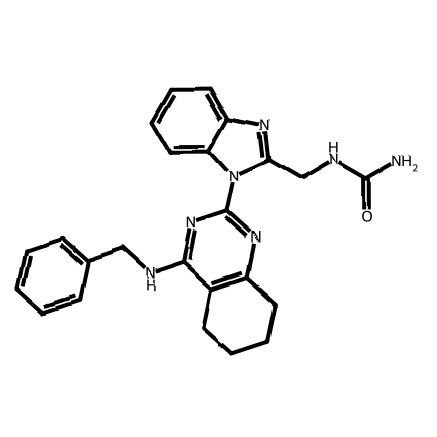 NC(=O)NCc1nc2ccccc2n1-c1nc2c(c(NCc3ccccc3)n1)CCCC2